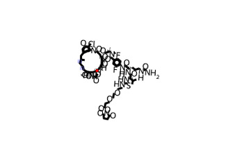 COc1cc2cc(c1Cl)N(C)C(=O)C[C@H](OC(=O)[C@H](C)N(C)C(=O)c1cc(F)c(NC(=O)[C@H](CCCNC(N)=O)NC(=O)[C@@H](NC(=S)NCCOCCOCCC(=O)ON3C(=O)CCC3=O)C(C)C)cc1F)[C@]1(C)O[C@H]1[C@H](C)[C@@H]1C[C@@](O)(NC(=O)O1)[C@H](OC)/C=C/C=C(\C)C2